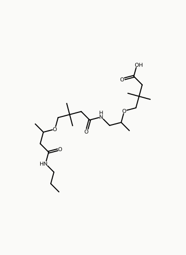 CCCNC(=O)CC(C)OCC(C)(C)CC(=O)NCC(C)OCC(C)(C)CC(=O)O